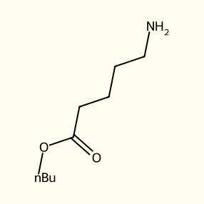 [CH2]CCCOC(=O)CCCCN